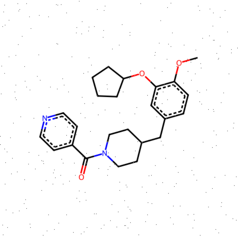 COc1ccc(CC2CCN(C(=O)c3ccncc3)CC2)cc1OC1CCCC1